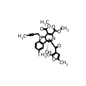 CC#CCN1c2ccc(I)cc2[C@]23C[C@@H](C)N(C(=O)c4cc(C)oc4C)C2=NC(C(=O)OC)=C(C(=O)OC)C13